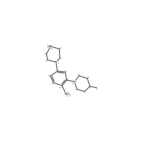 CC1CCN(c2cc(N3CCNCC3)ccc2[N+](=O)[O-])CC1